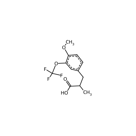 COc1ccc(CC(C)C(=O)O)cc1OC(F)(F)F